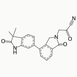 CC1(C)C(=O)Nc2cc(-c3cccc4c3CN(CC(=O)C#N)C4=O)ccc21